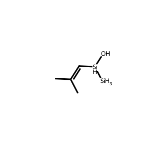 CC(C)=C[SiH](O)[SiH3]